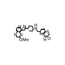 COc1cnc2cccc(C[C@@H](N)[C@H]3CC[C@@H](NCc4ccc5c(n4)NC(=O)CS5)CC3)c2n1